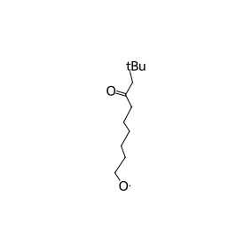 CC(C)(C)CC(=O)CCCCCC[O]